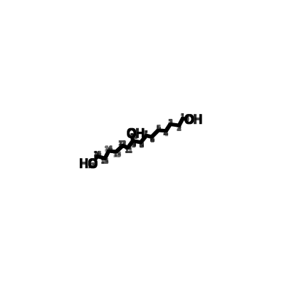 OCCCCCCCCC(O)CCCCCCO